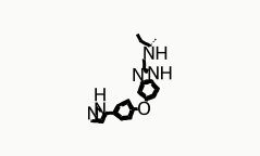 CC[C@H](C)NCc1nc2cc(Oc3ccc(-c4ccn[nH]4)cc3)ccc2[nH]1